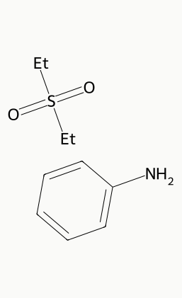 CCS(=O)(=O)CC.Nc1ccccc1